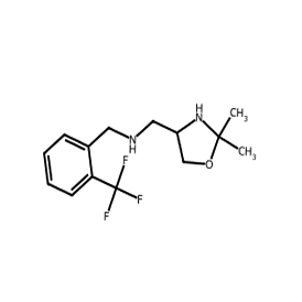 CC1(C)NC(CNCc2ccccc2C(F)(F)F)CO1